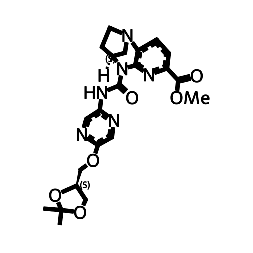 COC(=O)c1ccc2c(n1)N(C(=O)Nc1cnc(OC[C@H]3COC(C)(C)O3)cn1)[C@H]1CCN2C1